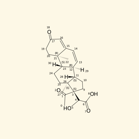 CC(=O)[C@@]1(C(O)C(=O)O)CC[C@H]2[C@@H]3C=CC4=CC(=O)CC[C@]4(C)[C@H]3CC[C@@]21C